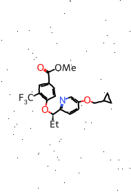 CC[C@@H](Oc1ccc(C(=O)OC)cc1C(F)(F)F)c1ccc(OCC2CC2)cn1